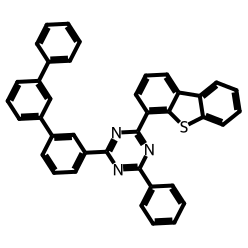 c1ccc(-c2cccc(-c3cccc(-c4nc(-c5ccccc5)nc(-c5cccc6c5sc5ccccc56)n4)c3)c2)cc1